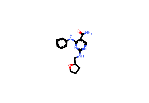 NC(=O)c1cnc(NCC2CCCO2)nc1Nc1ccccc1